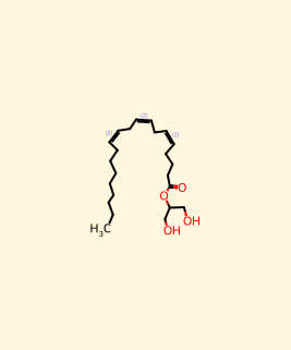 CCCCCCCC/C=C\C/C=C\C/C=C\CCCC(=O)OC(CO)CO